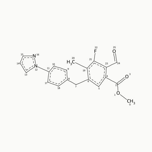 COC(=O)c1cc(Cc2ccc(-n3cccn3)cc2)c(C)c(F)c1C=O